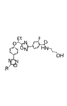 CCC(Oc1ccc(-c2noc(C(C)C)n2)cc1)c1nc(-c2ccc(C(=O)NCCCO)c(F)c2)no1